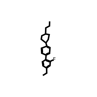 CCCC1CCC(c2ccc(-c3ccc(CC)cc3F)cc2)CC1